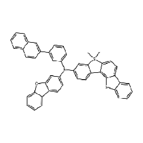 C[Si]1(C)c2cc(N(c3cccc(-c4ccc5ccccc5c4)c3)c3ccc4c(c3)oc3ccccc34)ccc2-c2c1ccc1c2sc2ccccc21